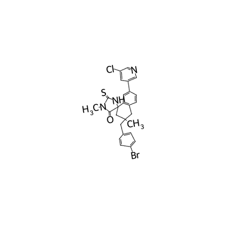 CN1C(=O)C2(CC(C)(Cc3ccc(Br)cc3)Cc3ccc(-c4cncc(Cl)c4)cc32)NC1=S